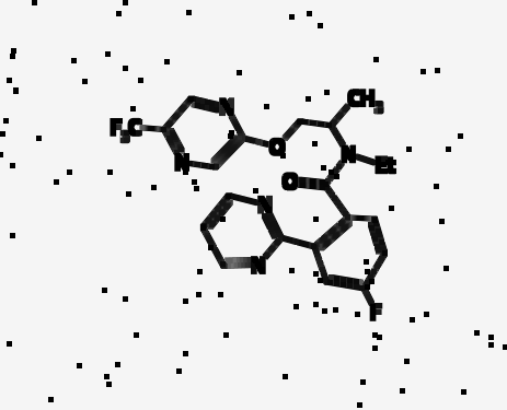 CCN(C(=O)c1ccc(F)cc1-c1ncccn1)C(C)COc1cnc(C(F)(F)F)cn1